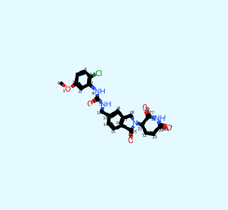 COc1ccc(Cl)c(NC(=O)NCc2ccc3c(c2)CN(C2CCC(=O)NC2=O)C3=O)c1